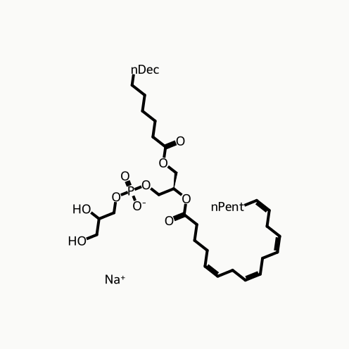 CCCCC/C=C\C/C=C\C/C=C\C/C=C\CCCC(=O)O[C@H](COC(=O)CCCCCCCCCCCCCCC)COP(=O)([O-])OCC(O)CO.[Na+]